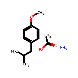 CC(=O)O.COc1ccc(CC(C)C)cc1.N